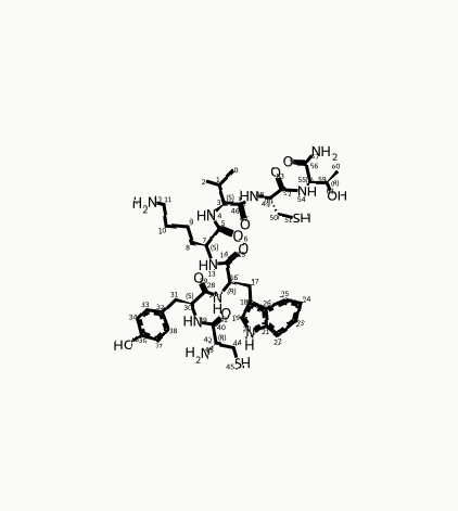 CC(C)[C@H](NC(=O)[C@H](CCCCN)NC(=O)[C@@H](Cc1c[nH]c2ccccc12)NC(=O)[C@H](Cc1ccc(O)cc1)NC(=O)[C@@H](N)CS)C(=O)N[C@@H](CS)C(=O)N[C@H](C(N)=O)[C@@H](C)O